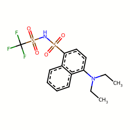 CCN(CC)c1ccc(S(=O)(=O)NS(=O)(=O)C(F)(F)F)c2ccccc12